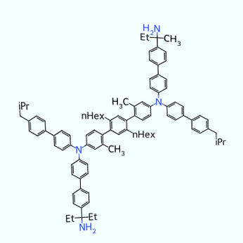 CCCCCCc1cc(-c2ccc(N(c3ccc(-c4ccc(CC(C)C)cc4)cc3)c3ccc(-c4ccc(C(N)(CC)CC)cc4)cc3)cc2C)c(CCCCCC)cc1-c1ccc(N(c2ccc(-c3ccc(CC(C)C)cc3)cc2)c2ccc(-c3ccc(C(C)(N)CC)cc3)cc2)cc1C